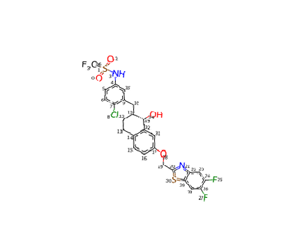 O=S(=O)(Nc1ccc(Cl)c(CC2CCc3ccc(OCc4nc5cc(F)c(F)cc5s4)cc3C2O)c1)C(F)(F)F